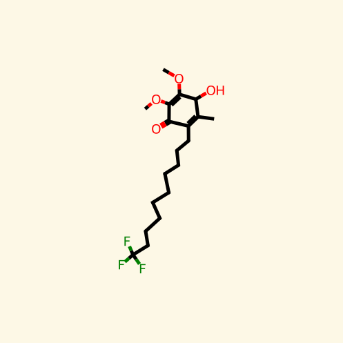 COC1=C(OC)C(O)C(C)=C(CCCCCCCCCC(F)(F)F)C1=O